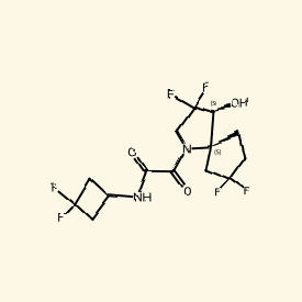 O=C(NC1CC(F)(F)C1)C(=O)N1CC(F)(F)[C@@H](O)[C@@]12CCC(F)(F)C2